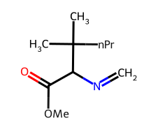 C=NC(C(=O)OC)C(C)(C)CCC